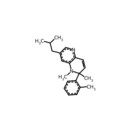 Cc1ccccc1C1(C)C=Cc2ncc(CC(C)C)cc2N1C